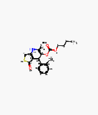 CCCCOC(=O)OC1=C(C)NC2=C(C(=O)SC2)C1c1ccccc1C